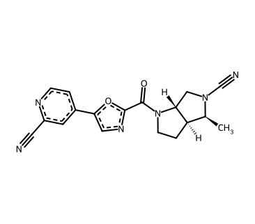 C[C@H]1[C@H]2CCN(C(=O)c3ncc(-c4ccnc(C#N)c4)o3)[C@@H]2CN1C#N